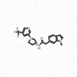 Cn1ccc2ccc(CC(=O)N[C@@H]3CCN(c4cncc(C(F)(F)F)c4)C3)cc21